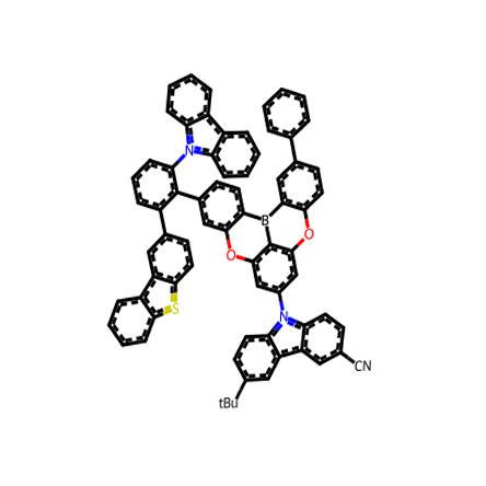 CC(C)(C)c1ccc2c(c1)c1cc(C#N)ccc1n2-c1cc2c3c(c1)Oc1ccc(-c4ccccc4)cc1B3c1ccc(-c3c(-c4ccc5sc6ccccc6c5c4)cccc3-n3c4ccccc4c4ccccc43)cc1O2